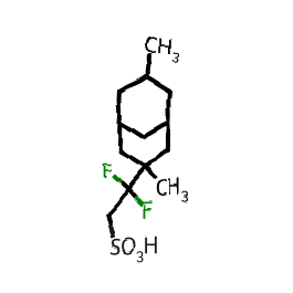 CC1CC2CC(C1)CC(C)(C(F)(F)CS(=O)(=O)O)C2